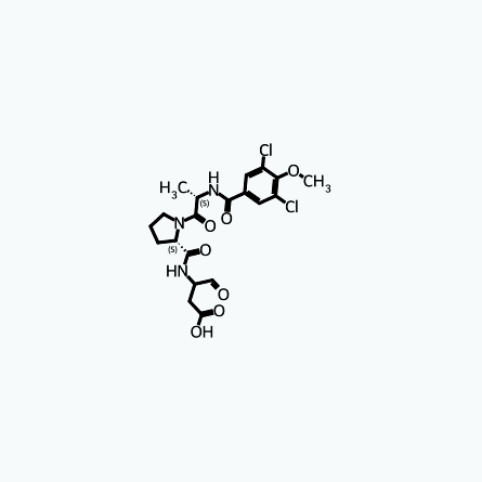 COc1c(Cl)cc(C(=O)N[C@@H](C)C(=O)N2CCC[C@H]2C(=O)NC(C=O)CC(=O)O)cc1Cl